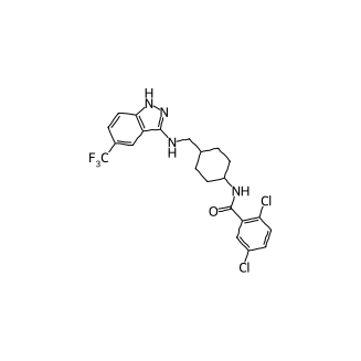 O=C(NC1CCC(CNc2n[nH]c3ccc(C(F)(F)F)cc23)CC1)c1cc(Cl)ccc1Cl